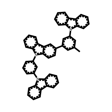 Cc1cc(-c2ccc3c(c2)c2ccccc2n3-c2cccc(-n3c4ccccc4c4ccccc43)c2)cc(-n2c3ccccc3c3ccccc32)c1